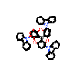 c1ccc([Si]23c4c5ccc(-n6c7ccccc7c7ccccc76)c4Oc4ccc(-n6c7ccccc7c7ccccc76)c(c42)Oc2ccc(-n4c6ccccc6c6ccccc64)c(c23)O5)cc1